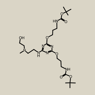 CN(CCO)CCNc1nc(OCCCNC(=O)OC(C)(C)C)nc(OCCCNC(=O)OC(C)(C)C)n1